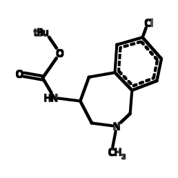 CN1Cc2ccc(Cl)cc2CC(NC(=O)OC(C)(C)C)C1